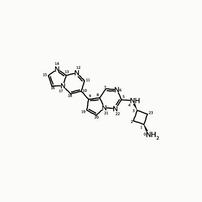 N[C@H]1C[C@@H](Nc2ncc3c(-c4cnc5nccn5c4)ccn3n2)C1